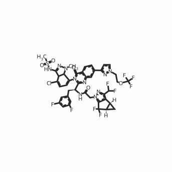 CN1N=C(NS(C)(=O)=O)C2C(Cl)=CC=C(n3c([C@H](Cc4cc(F)cc(F)c4)NC(=O)Cn4nc(C(F)F)c5c4C(F)(F)[C@@H]4C[C@H]54)nc4cc(-c5ccn(CCOC(F)(F)F)n5)ccc4c3=O)C21